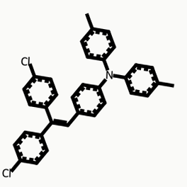 Cc1ccc(N(c2ccc(C)cc2)c2ccc(C=C(c3ccc(Cl)cc3)c3ccc(Cl)cc3)cc2)cc1